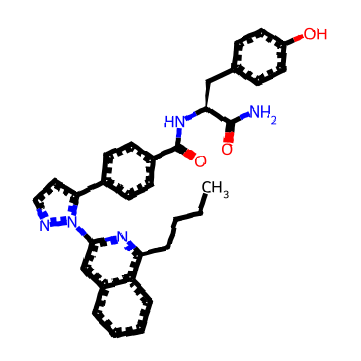 CCCCc1nc(-n2nccc2-c2ccc(C(=O)N[C@@H](Cc3ccc(O)cc3)C(N)=O)cc2)cc2ccccc12